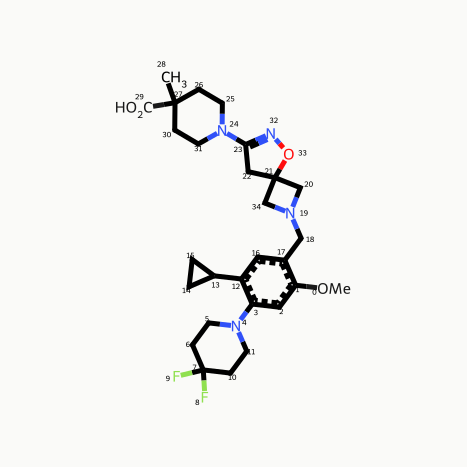 COc1cc(N2CCC(F)(F)CC2)c(C2CC2)cc1CN1CC2(CC(N3CCC(C)(C(=O)O)CC3)=NO2)C1